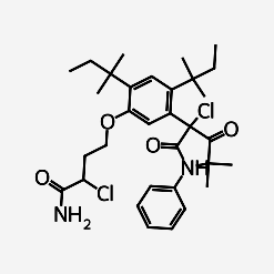 CCC(C)(C)c1cc(C(C)(C)CC)c(C(Cl)(C(=O)Nc2ccccc2)C(=O)C(C)(C)C)cc1OCCC(Cl)C(N)=O